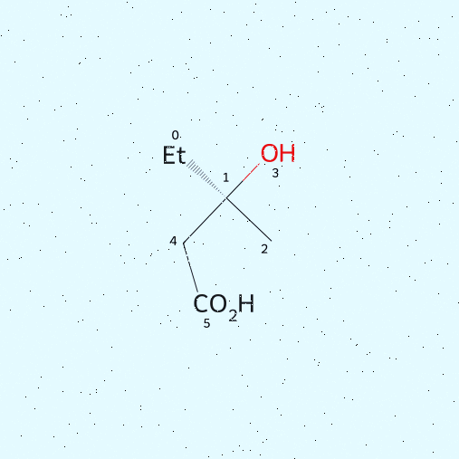 CC[C@@](C)(O)CC(=O)O